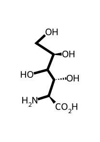 N[C@H](C(=O)O)[C@@H](O)C(O)[C@H](O)CO